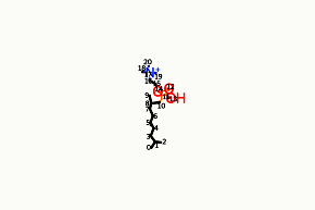 CC(C)CC[CH]CCC(C)CP(=O)(O)OCC[N+](C)(C)C